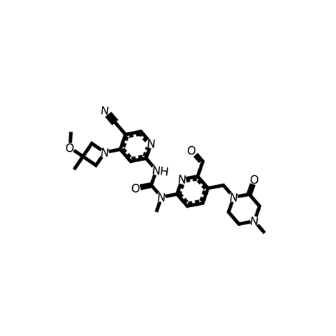 COC1(C)CN(c2cc(NC(=O)N(C)c3ccc(CN4CCN(C)CC4=O)c(C=O)n3)ncc2C#N)C1